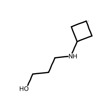 OCCCNC1C[CH]C1